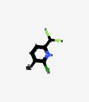 N#Cc1ccc(C(F)F)nc1Cl